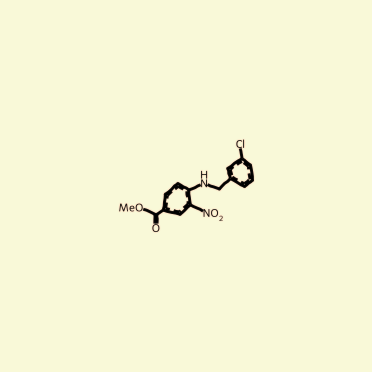 COC(=O)c1ccc(NCc2cccc(Cl)c2)c([N+](=O)[O-])c1